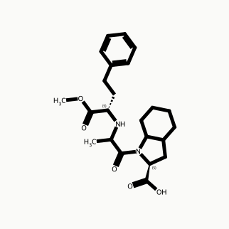 COC(=O)[C@H](CCc1ccccc1)NC(C)C(=O)N1C2CCCCC2C[C@H]1C(=O)O